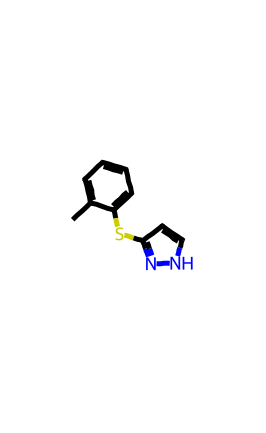 Cc1ccccc1Sc1cc[nH]n1